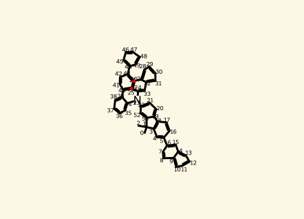 CC1(C)c2cc(-c3ccc4ccccc4c3)ccc2-c2ccc(N(c3ccc4ccccc4c3)c3ccccc3-c3ccc(-c4ccccc4)cc3)cc21